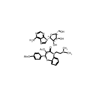 COc1ccc([C@@H]2Sc3ccccc3N(CCN(C)C)C(=O)[C@@H]2OC(C)=O)cc1.Nc1ncnc2c1ncn2[C@@H]1O[C@H](CO)[C@@H](O)[C@H]1O